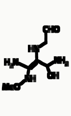 CON/C(N)=C(/NCC=O)C(N)O